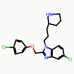 Clc1ccc(OCc2nc3cc(Cl)ccc3n2CCCC2CCCNC2)cc1